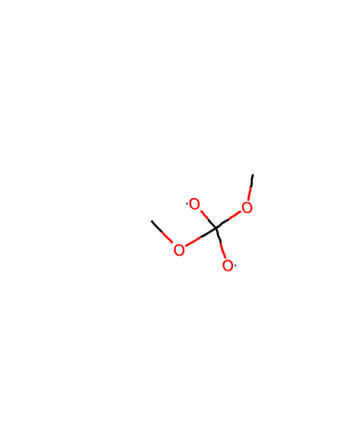 COC([O])([O])OC